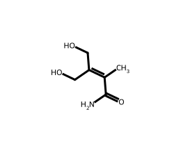 CC(C(N)=O)=C(CO)CO